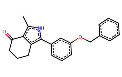 Cc1[nH]c(-c2cccc(OCc3ccccc3)c2)c2c1C(=O)CCC2